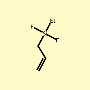 C=CC[Si](F)(F)CC